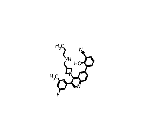 CCCNCC1CN(c2c(-c3cc(C)cc(F)c3)cnc3ccc(-c4cccc(C#N)c4O)cc23)C1